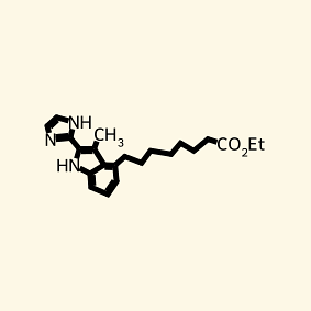 CCOC(=O)CCCCCCCc1cccc2[nH]c(-c3ncc[nH]3)c(C)c12